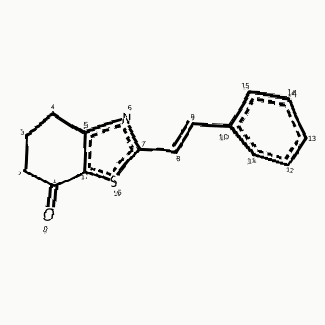 O=C1CCCc2nc(/C=C/c3ccccc3)sc21